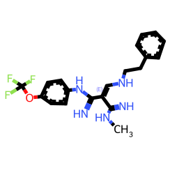 CNC(=N)/C(=C\NCCc1ccccc1)C(=N)Nc1ccc(OC(F)(F)F)cc1